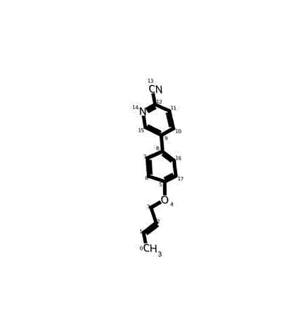 CC=CCOc1ccc(-c2ccc(C#N)nc2)cc1